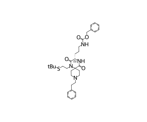 CC(C)(C)SCCN1C(=O)[C@H](CCCNC(=O)OCc2ccccc2)NC(=O)C12CCN(CCc1ccccc1)CC2